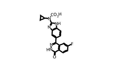 O=C(O)N(c1nc2cc(-c3n[nH]c(=O)c4ccc(F)cc34)ccc2[nH]1)C1CC1